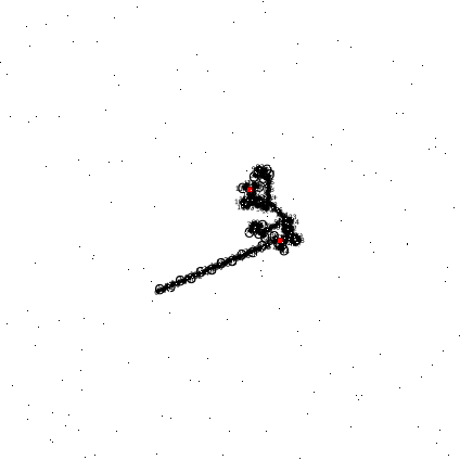 COCCOCCOCCOCCOCCOCCOCCOCCOCCOCCOCCNC(=O)CCC1(CCC(C)=O)c2ccccc2-c2cc3c(cc21)N(CCCCCC(=O)ON1C(=O)CCC1=O)\C(=C/C=C/C=C/C1=[N+](CCCCCC(=O)ON2C(=O)CCC2=O)c2cc4c(cc2C1(C)C)-c1ccccc1C4(CCC(C)=O)CCC(C)=O)C3(C)C